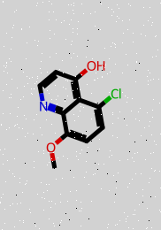 COc1ccc(Cl)c2c(O)ccnc12